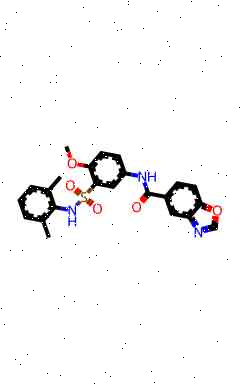 COc1ccc(NC(=O)c2ccc3ocnc3c2)cc1S(=O)(=O)Nc1c(C)cccc1C